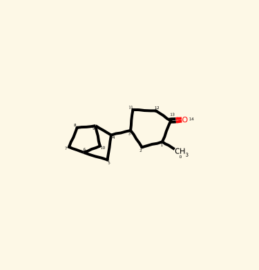 CC1CC(C2CC3CCC2C3)CCC1=O